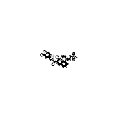 Cn1ccc(CNC(=O)c2cc3cccc4c3n(c2=O)CCN4CCS(C)(=O)=O)cc1=O